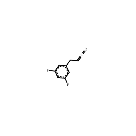 O=C=CCc1cc(F)cc(F)c1